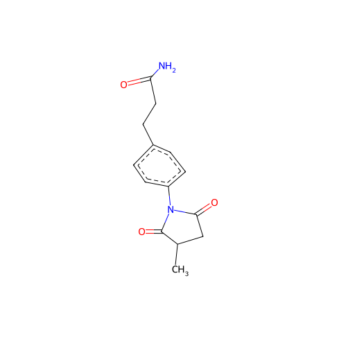 CC1CC(=O)N(c2ccc(CCC(N)=O)cc2)C1=O